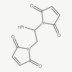 CCCC(CN1C(=O)C=CC1=O)N1C(=O)C=CC1=O